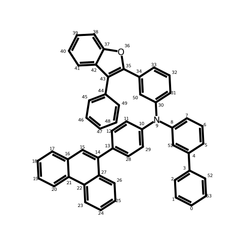 c1ccc(-c2cccc(N(c3ccc(-c4cc5ccccc5c5ccccc45)cc3)c3cccc(-c4oc5ccccc5c4-c4ccccc4)c3)c2)cc1